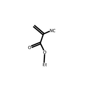 [C-]#[N+]C(=C)C(=O)OCC